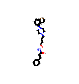 O=C(C=Cc1ccccc1)NOCCCCN1CCN(c2cccc3sccc23)CC1